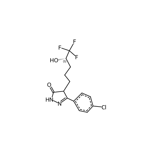 O=C1NN=C(c2ccc(Cl)cc2)C1CCC[C@H](O)C(F)(F)F